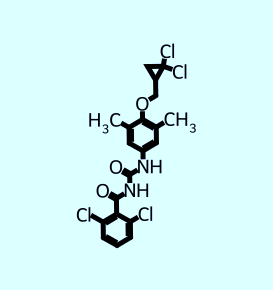 Cc1cc(NC(=O)NC(=O)c2c(Cl)cccc2Cl)cc(C)c1OCC1CC1(Cl)Cl